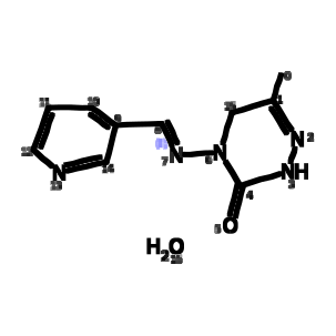 CC1=NNC(=O)N(/N=C/c2cccnc2)C1.O